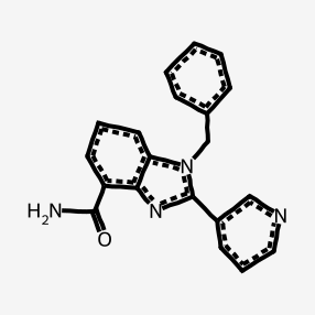 NC(=O)c1cccc2c1nc(-c1cccnc1)n2Cc1ccccc1